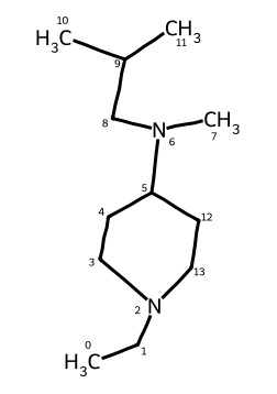 CCN1CCC(N(C)CC(C)C)CC1